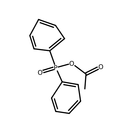 CC(=O)OP(=O)(c1ccccc1)c1ccccc1